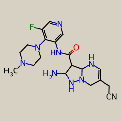 CN1CCN(c2c(F)cncc2NC(=O)C2C(N)NN3CC(CC#N)=CNC23)CC1